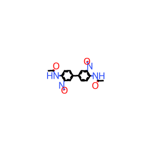 CC(=O)Nc1ccc(-c2ccc(NC(C)=O)c(N=O)c2)cc1N=O